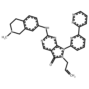 C=CCn1c(=O)c2cnc(Nc3ccc4c(c3)CN(C)CC4)nc2n1-c1cccc(-c2cccnn2)n1